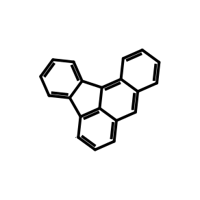 [c]1ccc2cc3ccccc3c3c2c1-c1ccccc1-3